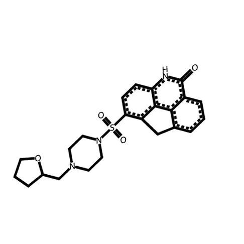 O=c1[nH]c2ccc(S(=O)(=O)N3CCN(CC4CCCO4)CC3)c3c2c2c(cccc12)C3